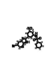 O=[N+]([O-])c1cc(NS(=O)(=O)c2ccccc2)cc(-c2nc3cc(Br)cnc3[nH]2)c1